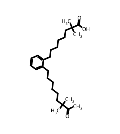 CC(=O)C(C)(C)CCCCCCc1ccccc1CCCCCCC(C)(C)C(=O)O